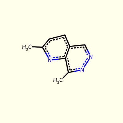 Cc1ccc2cnnc(C)c2n1